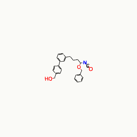 O=C=NC(CCCc1cccc(-c2ccc(CO)cc2)c1)OCc1ccccc1